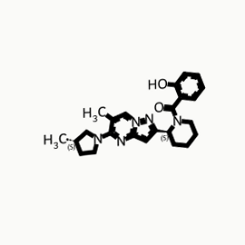 Cc1cn2nc([C@@H]3CCCCN3C(=O)c3ccccc3O)cc2nc1N1CC[C@H](C)C1